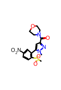 Cn1nc(C(=O)N2CCOCC2)cc1-c1cc([N+](=O)[O-])ccc1S(C)(=O)=O